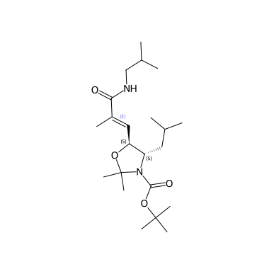 C/C(=C\[C@@H]1OC(C)(C)N(C(=O)OC(C)(C)C)[C@H]1CC(C)C)C(=O)NCC(C)C